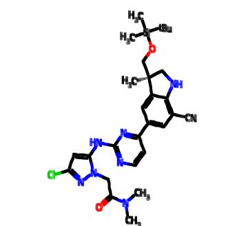 CN(C)C(=O)Cn1nc(Cl)cc1Nc1nccc(-c2cc(C#N)c3c(c2)[C@@](C)(CO[Si](C)(C)C(C)(C)C)CN3)n1